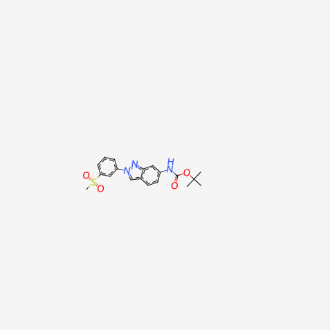 CC(C)(C)OC(=O)Nc1ccc2cn(-c3cccc(S(C)(=O)=O)c3)nc2c1